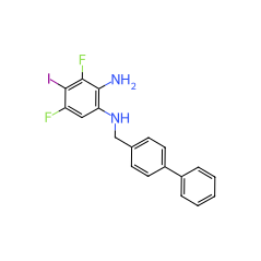 Nc1c(NCc2ccc(-c3ccccc3)cc2)cc(F)c(I)c1F